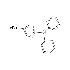 CCCCc1ccc([SH](c2ccccc2)c2ccccc2)cc1